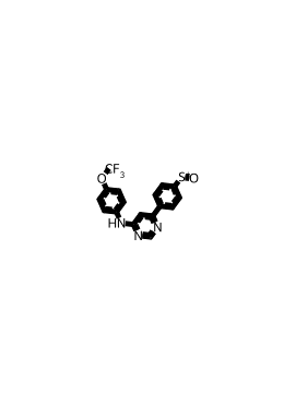 O=[S+]c1ccc(-c2cc(Nc3ccc(OC(F)(F)F)cc3)ncn2)cc1